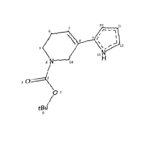 CC(C)(C)OC(=O)N1CCC=C(c2ccc[nH]2)C1